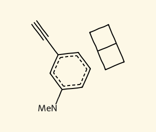 C#Cc1cccc(NC)c1.C1CC2CCC12